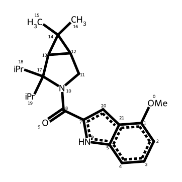 COc1cccc2[nH]c(C(=O)N3CC4C(C4(C)C)C3(C(C)C)C(C)C)cc12